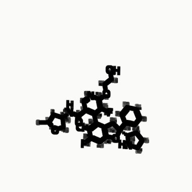 CC1C[C@@H](NC(=O)c2cnc(OCCO)c(F)c2-c2c(Cl)c(F)cc3c2C[C@](c2ccccc2)(C2CCCN2)O3)CO1